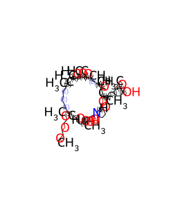 COCCOCCO[C@H]1C[C@@H]2CC[C@@H](C)[C@@](O)(O2)C(=O)C(=O)N2CCCC[C@H]2C(=O)O[C@H]([C@H](C)C[C@@H]2CC[C@@H](O)[C@H](OC)C2)CC(=O)[C@H](C)/C=C(\C)[C@@H](OC)[C@@H](OC)C(=O)[C@H](C)C[C@H](C)/C=C/C=C/C=C/1C